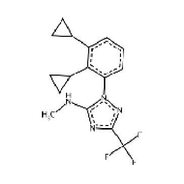 CNc1nc(C(F)(F)F)nn1-c1cccc(C2CC2)c1C1CC1